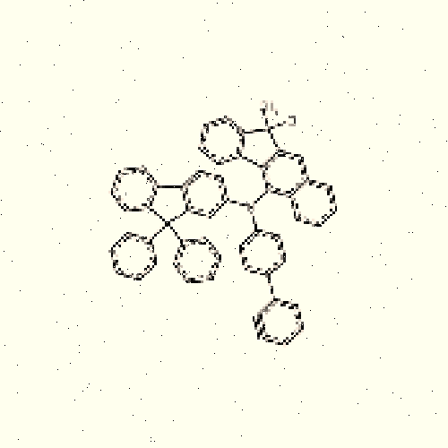 CC1(C)c2ccccc2-c2c1cc1ccccc1c2N(c1ccc(-c2c#cccc2)cc1)c1ccc2c(c1)C(c1ccccc1)(c1ccccc1)c1ccccc1-2